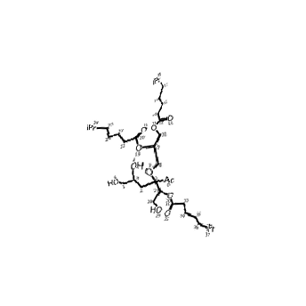 CC(=O)C(CC(O)CO)(OCC(COC(=O)CCCCC(C)C)OC(=O)CCCCC(C)C)C(CO)OC(=O)CCCCC(C)C